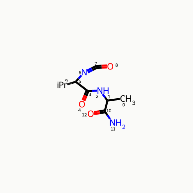 CC(NC(=O)C(N=C=O)C(C)C)C(N)=O